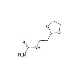 NC(=S)NCCC1OCCO1